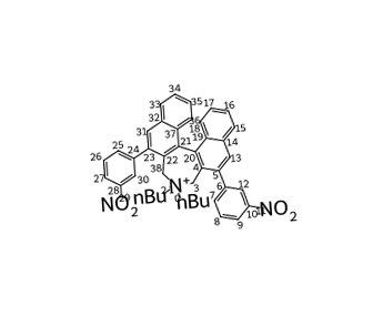 CCCC[N+]1(CCCC)Cc2c(-c3cccc([N+](=O)[O-])c3)cc3ccccc3c2-c2c(c(-c3cccc([N+](=O)[O-])c3)cc3ccccc23)C1